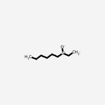 [CH2]C[S+]([O-])CCCCCC